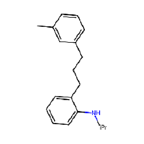 Cc1cccc(CCCc2ccccc2NC(C)C)c1